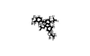 C=C(C)CC(NC(=O)c1ccc(F)c(C(F)(F)F)c1)(c1cc(F)cc(OC(F)(F)C(F)F)c1)c1ccc(F)c(OC(C)C)c1